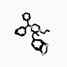 CCCN1CCN(C(c2ccccc2)c2ccccc2)CC1(C)Cc1ccc2c(c1)OCO2